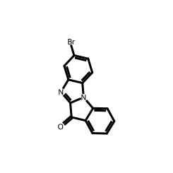 O=C1c2ccccc2-n2c1nc1cc(Br)ccc12